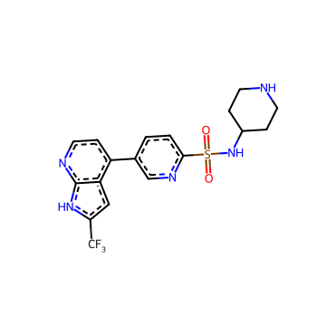 O=S(=O)(NC1CCNCC1)c1ccc(-c2ccnc3[nH]c(C(F)(F)F)cc23)cn1